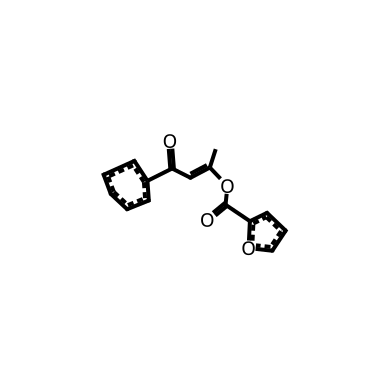 C/C(=C\C(=O)c1ccccc1)OC(=O)c1ccco1